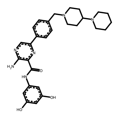 Nc1ncc(-c2ccc(CN3CCC(N4CCCCC4)CC3)cc2)nc1C(=O)Nc1cc(O)cc(O)c1